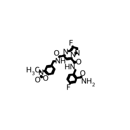 Cn1c(=O)oc2ccc(CNC(=O)c3cc(C(=O)NCc4ccc(F)cc4C(N)=O)n4ncc(F)c4n3)cc21